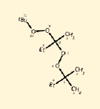 CCC(C)(C)OOC(C)(CC)OOC(C)(C)C